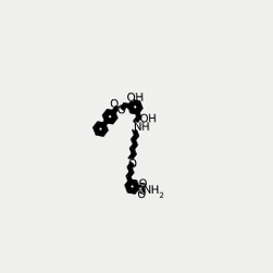 NS(=O)(=O)c1cccc(CCCOCCCCCCCNC[C@H](O)c2ccc(O)c(COC(=O)c3ccc(-c4ccccc4)cc3)c2)c1